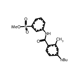 CCCCc1ccc(C(=O)Nc2cccc(S(=O)(=O)OC)c2)c(C)c1